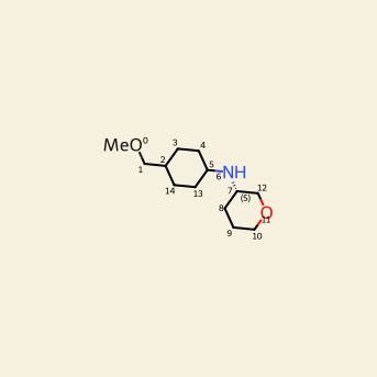 COCC1CCC(N[C@H]2CCCOC2)CC1